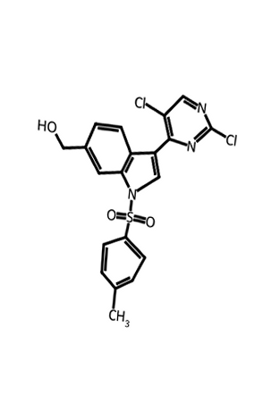 Cc1ccc(S(=O)(=O)n2cc(-c3nc(Cl)ncc3Cl)c3ccc(CO)cc32)cc1